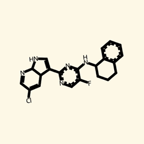 Fc1cnc(C2=CNC3N=CC(Cl)=CC23)nc1NC1CCCc2ccccc21